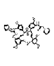 COc1cc(OC)c(C=CC(c2ccc(OC)c(NC(=O)C[n+]3ccccc3)c2)S(=O)(=O)C(C=Cc2c(OC)cc(OC)cc2OC)c2ccc(OC)c(NC(=O)C[n+]3ccccc3)c2)c(OC)c1